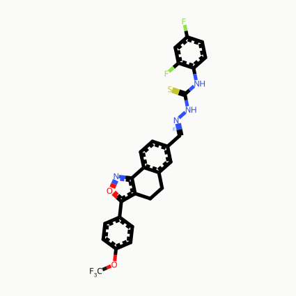 Fc1ccc(NC(=S)N/N=C/c2ccc3c(c2)CCc2c-3noc2-c2ccc(OC(F)(F)F)cc2)c(F)c1